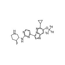 [2H]C([2H])([2H])Oc1cc2ncc(-c3ccnc(N[C@H]4CNCC[C@@H]4F)n3)n2nc1C1CC1